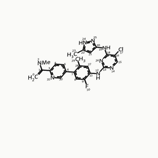 C=C(NC)c1ccc(-c2cc(F)c(Nc3ncc(Cl)c(Nc4cc(C)[nH]n4)n3)cc2C)cn1